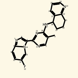 Cc1cnc(-c2cnc3ccc(F)cn23)nc1NC1CCCc2ncccc21